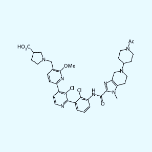 COc1nc(-c2ccnc(-c3cccc(NC(=O)c4nc5c(n4C)CCN(C4CCN(C(C)=O)CC4)C5)c3Cl)c2Cl)ccc1CN1CCC(C(=O)O)C1